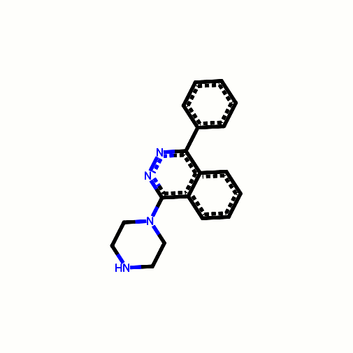 c1ccc(-c2nnc(N3CCNCC3)c3ccccc23)cc1